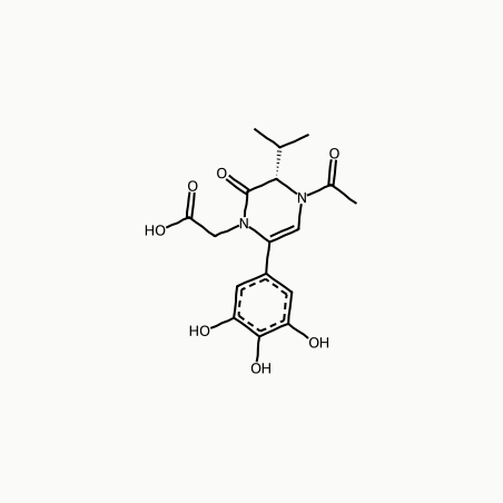 CC(=O)N1C=C(c2cc(O)c(O)c(O)c2)N(CC(=O)O)C(=O)[C@@H]1C(C)C